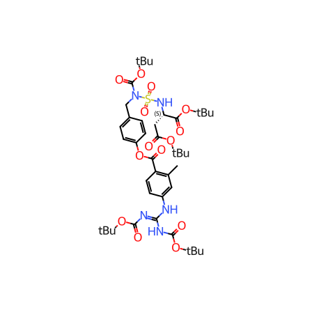 Cc1cc(NC(=NC(=O)OC(C)(C)C)NC(=O)OC(C)(C)C)ccc1C(=O)Oc1ccc(CN(C(=O)OC(C)(C)C)S(=O)(=O)N[C@@H](CC(=O)OC(C)(C)C)C(=O)OC(C)(C)C)cc1